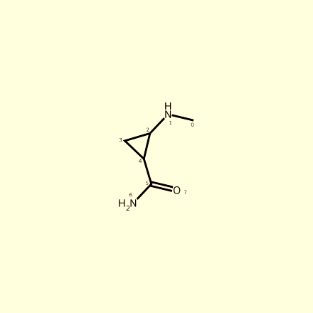 CNC1CC1C(N)=O